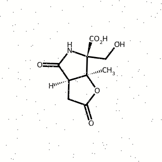 C[C@]12OC(=O)C[C@H]1C(=O)N[C@@]2(CO)C(=O)O